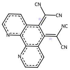 [C-]#[N+]/C(C#N)=c1\c(=C(/C#N)[N+]#[C-])c2cccnc2c2ncccc12